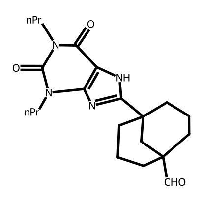 CCCn1c(=O)c2[nH]c(C34CCCC(C=O)(CCC3)C4)nc2n(CCC)c1=O